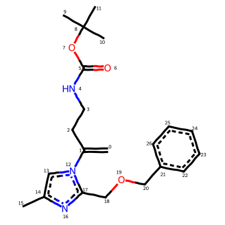 C=C(CCNC(=O)OC(C)(C)C)n1cc(C)nc1COCc1ccccc1